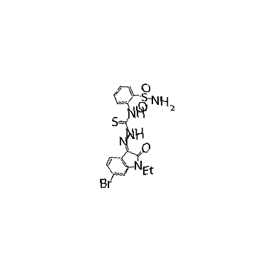 CCN1C(=O)C(=NNC(=S)Nc2ccccc2S(N)(=O)=O)c2ccc(Br)cc21